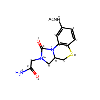 CC(=O)Nc1ccc2c(c1)N1C(=O)N(CC(N)=O)CC1CS2